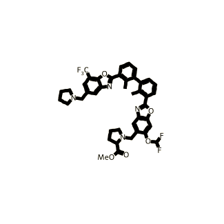 COC(=O)C1CCCN1Cc1cc2nc(-c3cccc(-c4cccc(-c5nc6cc(CN7CCCC7)cc(C(F)(F)F)c6o5)c4C)c3C)oc2cc1OC(F)F